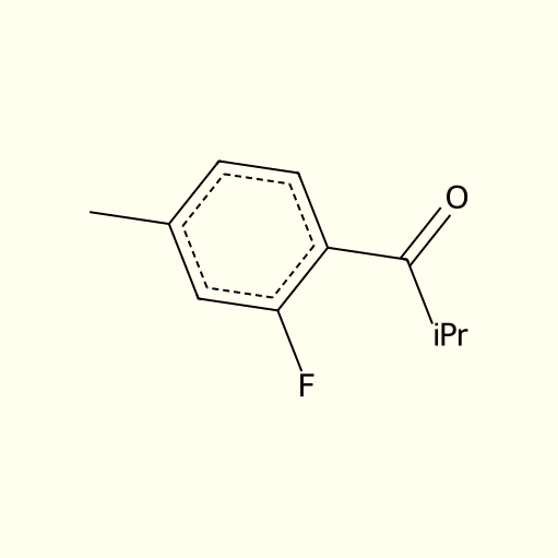 Cc1ccc(C(=O)C(C)C)c(F)c1